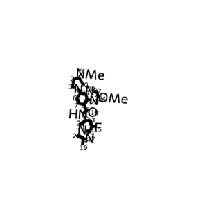 CN[C@@H]1CCN(c2ccc(C(=O)Nc3cc(F)c4nc(C)cn4c3)c3nc(OC)cnc23)C1